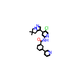 CC1(C)Cc2c(-c3cc(NC(=O)C4=CCC=C(c5cccnc5)C4)ncc3Cl)cnn2C1